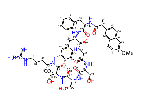 COc1ccc2cc(C(C)C(=O)N[C@H](Cc3ccccc3)C(=O)N[C@H](Cc3ccccc3)C(=O)NCC(=O)NC(CO)C(=O)N[C@@H](CO)C(=O)NC(CO)C(=O)N[C@@H](CCCNC(=N)N)C(=O)O)ccc2c1